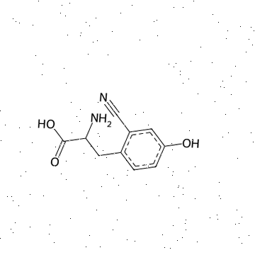 N#Cc1cc(O)ccc1CC(N)C(=O)O